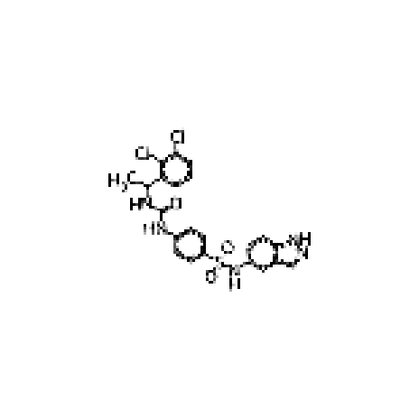 CC(NC(=O)Nc1ccc(S(=O)(=O)Nc2ccc3[nH]ncc3c2)cc1)c1cccc(Cl)c1Cl